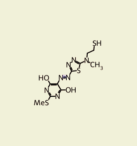 CSc1nc(O)c(/N=N/c2nnc(N(C)CCS)s2)c(O)n1